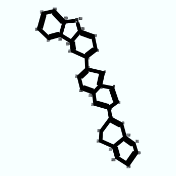 C1=C(c2ccc3cc(-c4ccc5sc6ccccc6c5c4)ccc3c2)CCc2ccccc21